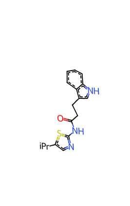 CC(C)c1cnc(NC(=O)CCc2c[nH]c3ccccc23)s1